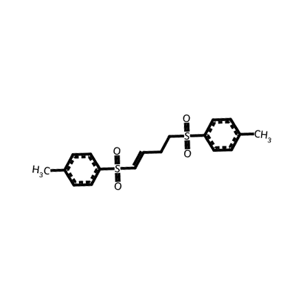 Cc1ccc(S(=O)(=O)C=CCCS(=O)(=O)c2ccc(C)cc2)cc1